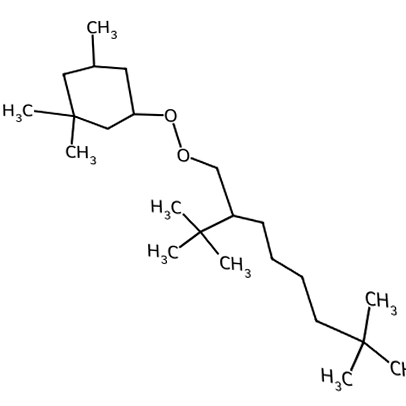 CC1CC(OOCC(CCCCC(C)(C)C)C(C)(C)C)CC(C)(C)C1